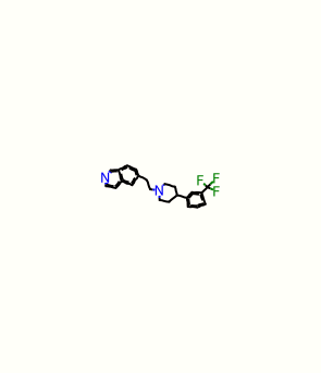 FC(F)(F)c1cccc(C2CCN(CCc3ccc4cnccc4c3)CC2)c1